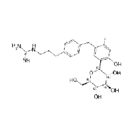 Cc1cc(O)c([C@@H]2O[C@H](CO)[C@@H](O)[C@H](O)[C@H]2O)cc1Cc1ccc(CCCNC(=N)N)cc1